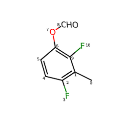 Cc1c(F)ccc(OC=O)c1F